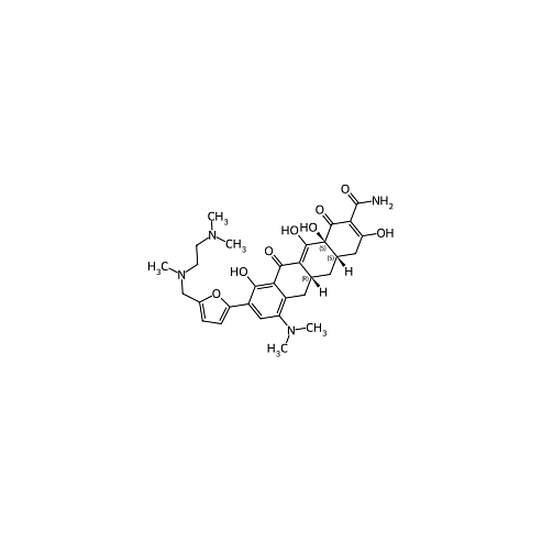 CN(C)CCN(C)Cc1ccc(-c2cc(N(C)C)c3c(c2O)C(=O)C2=C(O)[C@]4(O)C(=O)C(C(N)=O)=C(O)C[C@@H]4C[C@@H]2C3)o1